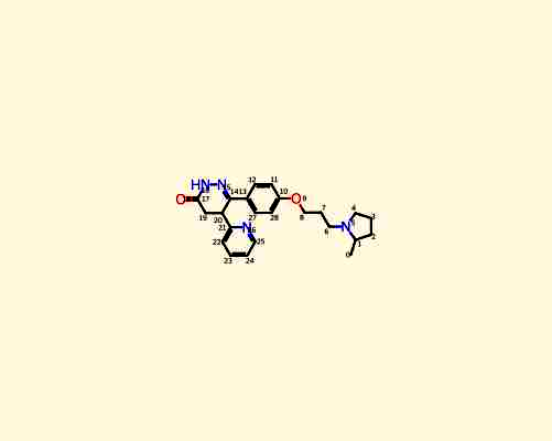 CC1CCCN1CCCOc1ccc(C2=NNC(=O)CC2c2ccccn2)cc1